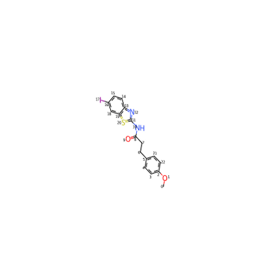 COc1ccc(CCC(=O)Nc2nc3ccc(I)cc3s2)cc1